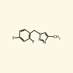 Cc1cn(Cc2ccc(F)cc2F)nn1